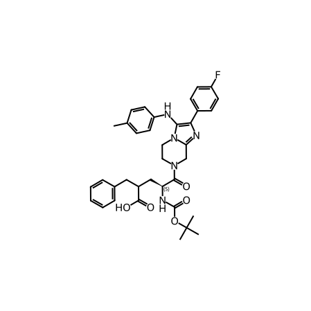 Cc1ccc(Nc2c(-c3ccc(F)cc3)nc3n2CCN(C(=O)[C@H](CC(Cc2ccccc2)C(=O)O)NC(=O)OC(C)(C)C)C3)cc1